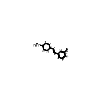 CCCC1CCC(/C=C/c2cccc(F)c2)CC1